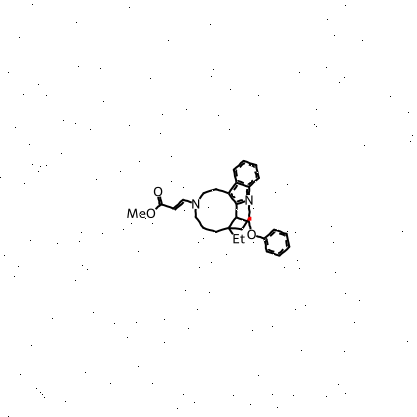 CCC12CCCN(/C=C/C(=O)OC)CCc3c(n(c4ccccc34)CC1)C2COc1ccccc1